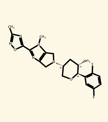 Cc1noc(-c2nc3c(n2C)CN([C@H]2CO[C@H](c4cc(F)ccc4F)[C@@H](N)C2)C3)n1